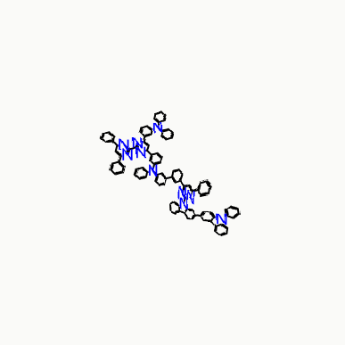 c1ccc(-c2cc(-c3ccccc3)nc(-c3nc(-c4cccc(N(c5ccccc5)c5ccccc5)c4)cc(-c4cccc(N(c5ccccc5)c5cccc(-c6cccc(-c7cc(-c8ccccc8)nc(-n8c9ccccc9c9ccc(-c%10ccc%11c(c%10)c%10ccccc%10n%11-c%10ccccc%10)cc98)n7)c6)c5)c4)n3)n2)cc1